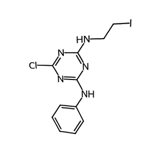 Clc1nc(NCCI)nc(Nc2ccccc2)n1